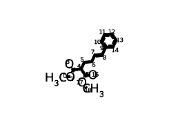 COC(=O)C(CCC=Cc1ccccc1)C(=O)OC